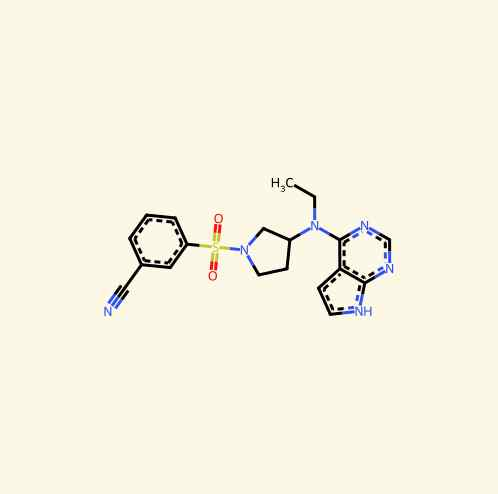 CCN(c1ncnc2[nH]ccc12)C1CCN(S(=O)(=O)c2cccc(C#N)c2)C1